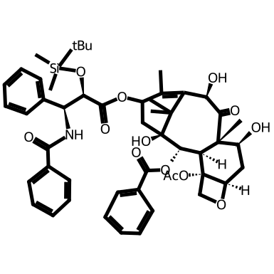 CC(=O)O[C@@]12CO[C@@H]1C[C@H](O)[C@@]1(C)C(=O)[C@H](O)C3=C(C)C(OC(=O)[C@H](O[Si](C)(C)C(C)(C)C)[C@@H](NC(=O)c4ccccc4)c4ccccc4)C[C@@](O)([C@@H](OC(=O)c4ccccc4)[C@H]21)C3(C)C